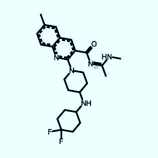 CN/C(C)=N\C(=O)c1cc2cc(C)ccc2nc1N1CCC(NC2CCC(F)(F)CC2)CC1